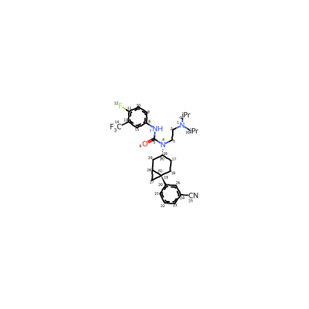 CC(C)N(CCN(C(=O)Nc1ccc(F)c(C(F)(F)F)c1)[C@@H]1CC[C@]2(c3cccc(C#N)c3)CC2C1)C(C)C